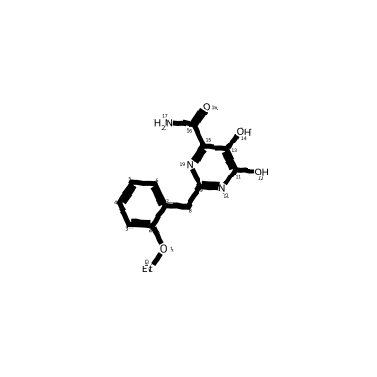 CCOc1ccccc1Cc1nc(O)c(O)c(C(N)=O)n1